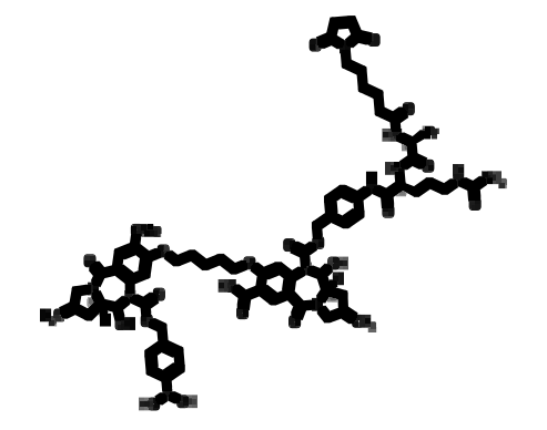 C=C1C[C@H]2C(O)N(C(=O)OCc3ccc(B(O)O)cc3)c3cc(OCCCCCOc4cc5c(cc4C(=O)S)C(=O)N4CC(=C)C[C@H]4C(O)N5C(=O)OCc4ccc(NC(=O)[C@H](CCCNC(N)=O)NC(=O)[C@@H](NC(=O)CCCCCN5C(=O)C=CC5=O)C(C)C)cc4)c(OC)cc3C(=O)N2C1